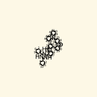 c1ccc(C2NC(c3ccccc3)NC(c3cccc4c3oc3cccc(-c5cccc6oc7ccc(-n8c9ccccc9c9ccccc98)cc7c56)c34)N2)cc1